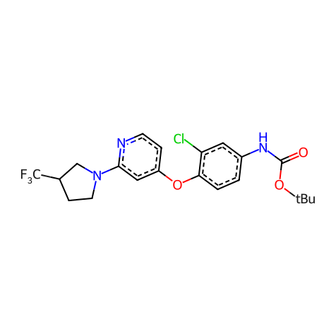 CC(C)(C)OC(=O)Nc1ccc(Oc2ccnc(N3CCC(C(F)(F)F)C3)c2)c(Cl)c1